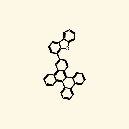 c1ccc2c(c1)oc1c(-c3ccc4c(c3)c3ccccc3c3c5ccccc5c5ccccc5c43)cccc12